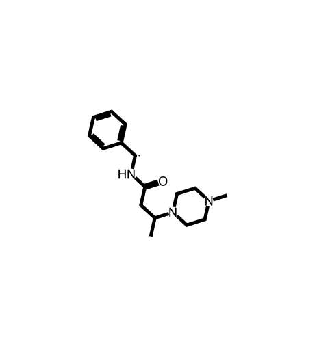 CC(CC(=O)N[CH]c1ccccc1)N1CCN(C)CC1